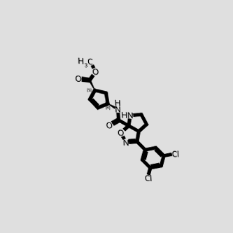 COC(=O)[C@@H]1C=C[C@H](NC(=O)C23NCCC2C(c2cc(Cl)cc(Cl)c2)=NO3)C1